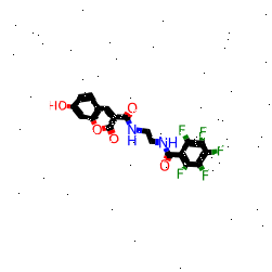 O=C(NCCNC(=O)c1cc2ccc(O)cc2oc1=O)c1c(F)c(F)c(F)c(F)c1F